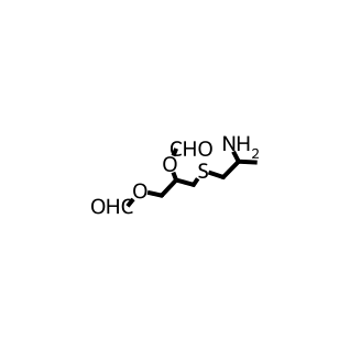 CC(N)CSCC(COC=O)OC=O